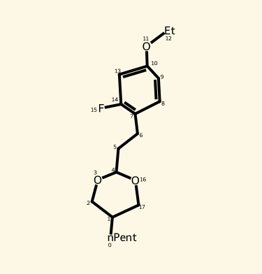 CCCCCC1COC(CCc2ccc(OCC)cc2F)OC1